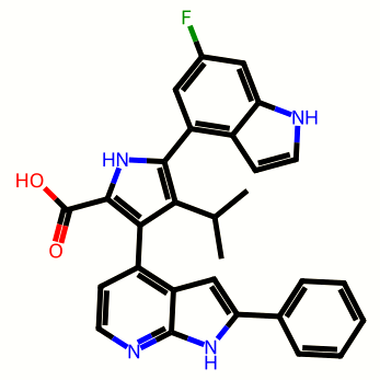 CC(C)c1c(-c2cc(F)cc3[nH]ccc23)[nH]c(C(=O)O)c1-c1ccnc2[nH]c(-c3ccccc3)cc12